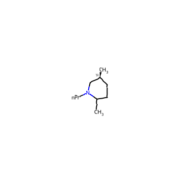 CCCN1C[C@@H](C)CCC1C